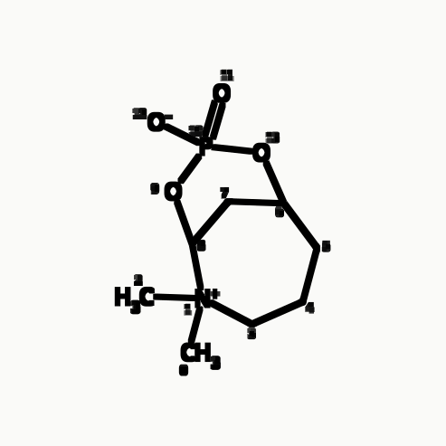 C[N+]1(C)CCCC2CC1OP(=O)([O-])O2